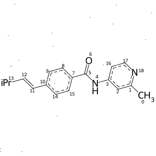 Cc1cc(NC(=O)c2ccc(/C=C/C(C)C)cc2)ccn1